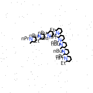 CCC1CCCCN1CC.CCCC1CCCCN1CCC.CCCCC1CCCCN1CCCC.CCCCN1CCCCC1C.CCCCN1CCCCC1CC.CCCCN1CCCCC1CCC.CCCN1CCCCC1C.CCCN1CCCCC1CC